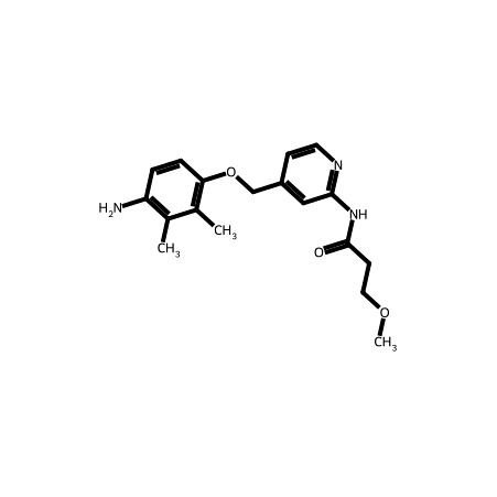 COCCC(=O)Nc1cc(COc2ccc(N)c(C)c2C)ccn1